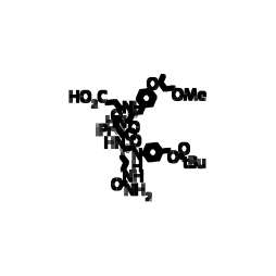 COCCC(C)Oc1ccc(C[C@H](NC(=O)CCC(=O)O)C(=O)N[C@H](C(=O)N[C@@H](CCCNC(N)=O)C(=O)Nc2ccc(COC(=O)C(C)(C)C)cc2)C(C)C)cc1